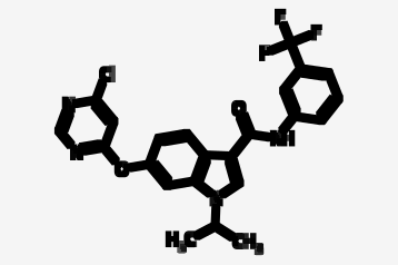 CC(C)n1cc(C(=O)Nc2cccc(C(F)(F)F)c2)c2ccc(Oc3cc(Cl)ncn3)cc21